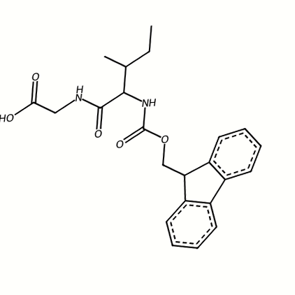 CCC(C)C(NC(=O)OCC1c2ccccc2-c2ccccc21)C(=O)NCC(=O)O